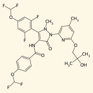 Cc1cc(OCC(C)(C)O)nc(-n2c(=O)c(NC(=O)c3ccc(OC(F)F)cc3)c(-c3c(F)cc(OC(F)F)cc3F)n2C)c1